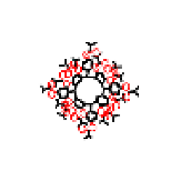 CC(C)C(=O)Oc1ccc(C2c3cc(c(OC(=O)C(C)C)c(OC(=O)C(C)C)c3OC(=O)C(C)C)C(c3ccc(OC(=O)C(C)C)cc3)c3cc(c(OC(=O)C(C)C)c(OC(=O)C(C)C)c3OC(=O)C(C)C)C(c3ccc(OC(=O)C(C)C)cc3)c3cc(c(OC(=O)C(C)C)c(OC(=O)C(C)C)c3OC(=O)C(C)C)C(c3ccc(OC(=O)C(C)C)cc3)c3cc2c(OC(=O)C(C)C)c(OC(=O)C(C)C)c3OC(=O)C(C)C)cc1